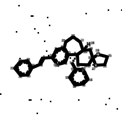 C(=C\c1cc2c(cn1)[C@]1(Cc3ccccn3)CCC3(C[C@H]1CCC2)OCCO3)/c1ccccc1